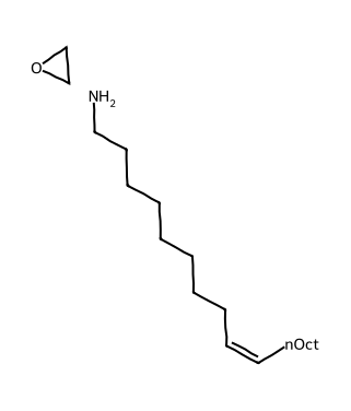 C1CO1.CCCCCCCC/C=C\CCCCCCCCN